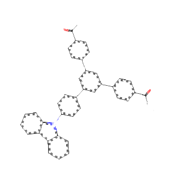 O=C(c1ccc(-c2cc(-c3ccc(C(=O)C(F)(F)F)cc3)cc(-c3ccc(-n4c5ccccc5c5ccccc54)cc3)c2)cc1)C(F)(F)F